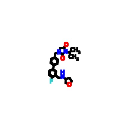 CC(C)N1C(=O)CN(Cc2ccc(-c3ccc(F)c(CNC4CCOC4)c3)cc2)C1=O